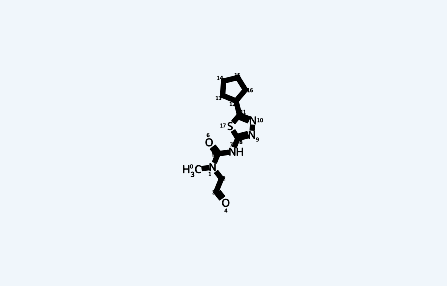 CN(CC=O)C(=O)Nc1nnc(C2CCCC2)s1